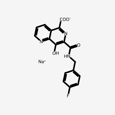 O=C(NCc1ccc(F)cc1)c1nc(C(=O)[O-])c2cccnc2c1O.[Na+]